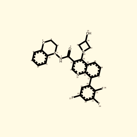 O=C(NN1CCOc2ccccc21)c1cnc2c(-c3cc(F)cc(F)c3F)cccc2c1N1CC(O)C1